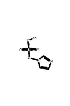 CCCOS(=O)(=O)On1ccnc1